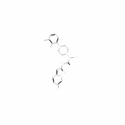 CCCCCN(C(=O)Nc1cc2ccc(F)cn2n1)N1CCN(c2cccc(Cl)c2Cl)CC1